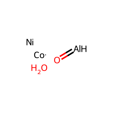 O.[Co].[Ni].[O]=[AlH]